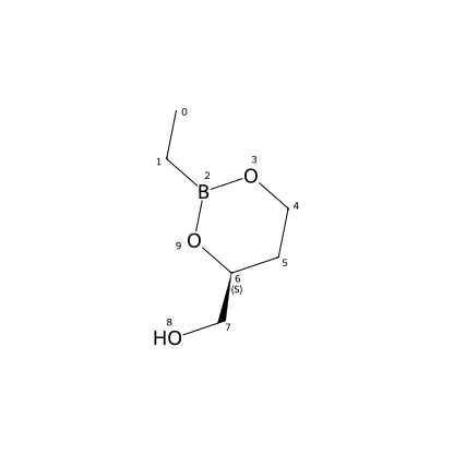 CCB1OCC[C@@H](CO)O1